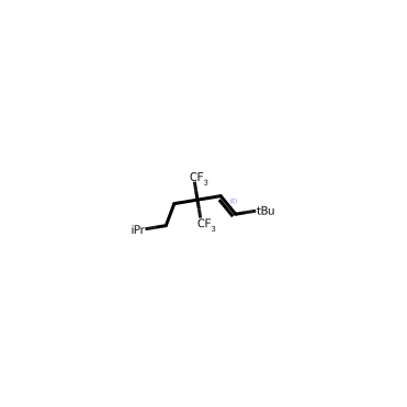 CC(C)CCC(/C=C/C(C)(C)C)(C(F)(F)F)C(F)(F)F